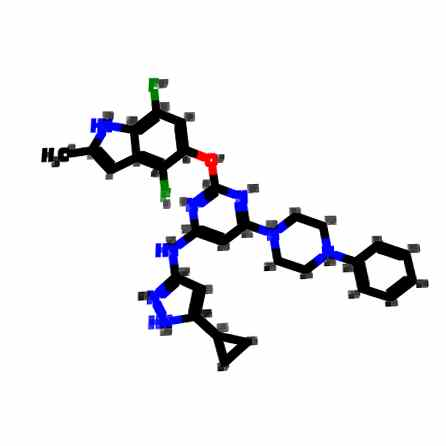 Cc1cc2c(F)c(Oc3nc(Nc4cc(C5CC5)[nH]n4)cc(N4CCN(c5ccccc5)CC4)n3)cc(F)c2[nH]1